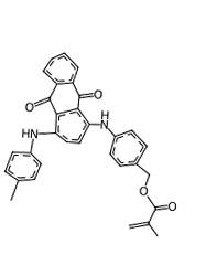 C=C(C)C(=O)OCc1ccc(Nc2ccc(Nc3ccc(C)cc3)c3c2C(=O)c2ccccc2C3=O)cc1